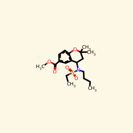 CCCCN(C1CC(C)(C)Oc2ccc(C(=O)OC)cc21)S(=O)(=O)CC